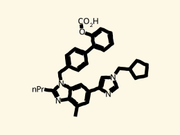 CCCc1nc2c(C)cc(-c3cn(CC4CCCC4)cn3)cc2n1Cc1ccc(-c2ccccc2OC(=O)O)cc1